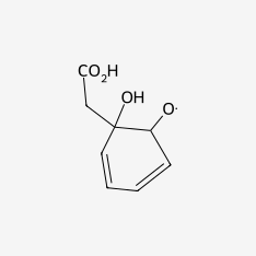 [O]C1C=CC=CC1(O)CC(=O)O